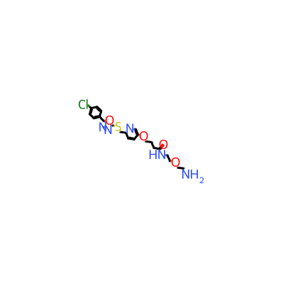 NCCOCCNC(=O)CCCOc1ccc(CSc2nnc(-c3ccc(Cl)cc3)o2)nc1